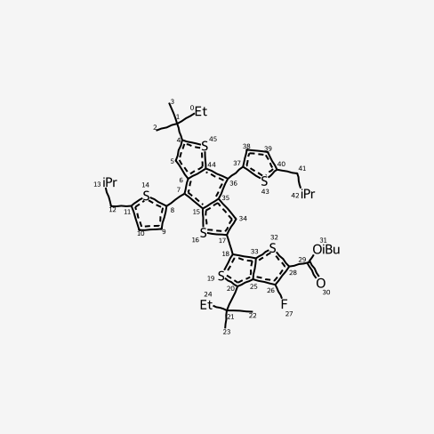 CCC(C)(C)c1cc2c(-c3ccc(CC(C)C)s3)c3sc(-c4sc(C(C)(C)CC)c5c(F)c(C(=O)OCC(C)C)sc45)cc3c(-c3ccc(CC(C)C)s3)c2s1